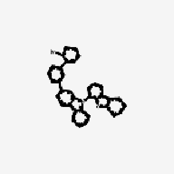 Brc1ccccc1-c1cccc(-c2ccc3c4ccccc4n(-c4cccc5c4oc4ccccc45)c3c2)c1